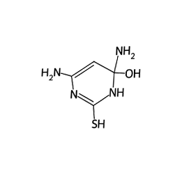 NC1=CC(N)(O)NC(S)=N1